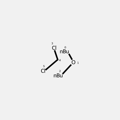 CCCCOCCCC.ClCCl